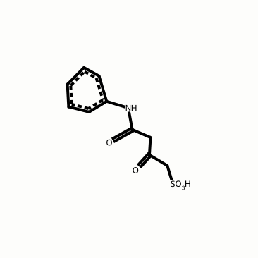 O=C(CC(=O)Nc1ccccc1)CS(=O)(=O)O